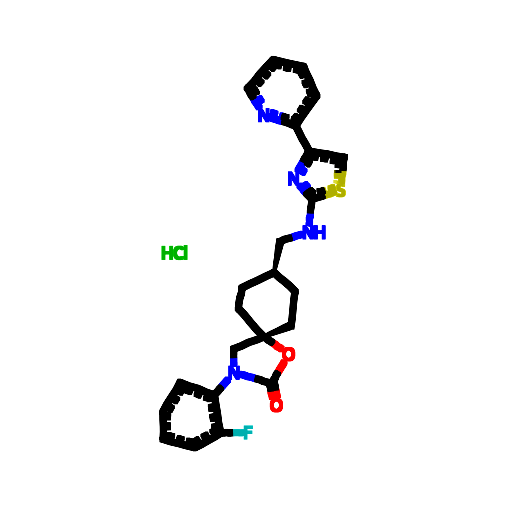 Cl.O=C1O[C@]2(CC[C@H](CNc3nc(-c4ccccn4)cs3)CC2)CN1c1ccccc1F